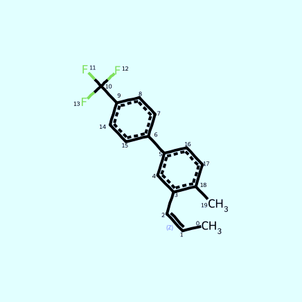 C/C=C\c1cc(-c2ccc(C(F)(F)F)cc2)ccc1C